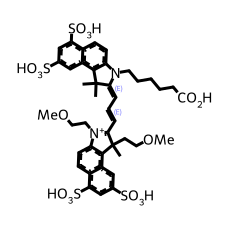 COCC[N+]1=C(/C=C/C=C2/N(CCCCCC(=O)O)c3ccc4c(S(=O)(=O)O)cc(S(=O)(=O)O)cc4c3C2(C)C)C(C)(CCOC)c2c1ccc1c(S(=O)(=O)O)cc(S(=O)(=O)O)cc21